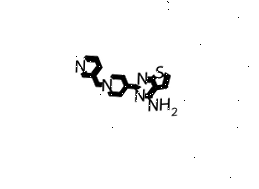 Nc1nc(C2CCN(Cc3cccnc3)CC2)nc2sccc12